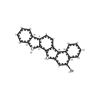 Brc1cc2oc3c(ccc4c5ccccc5oc43)c2c2ccccc12